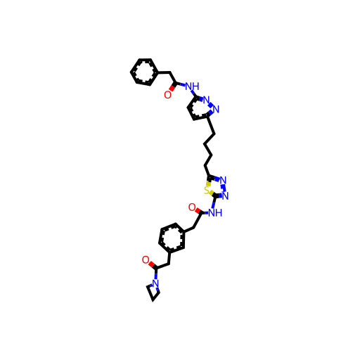 O=C(Cc1ccccc1)Nc1ccc(CCCCc2nnc(NC(=O)Cc3cccc(CC(=O)N4CCC4)c3)s2)nn1